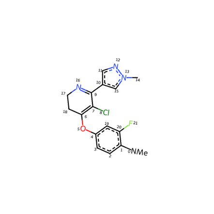 CNc1ccc(OC2=C(Cl)C(c3cnn(C)c3)=NCC2)cc1F